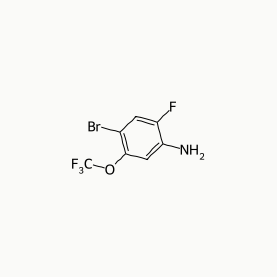 Nc1cc(OC(F)(F)F)c(Br)cc1F